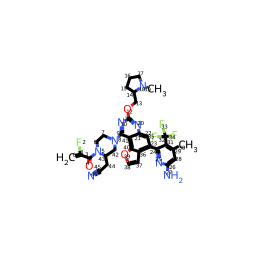 C=C(F)C(=O)N1CCN(c2nc(OCC3CCCN3C)nc3cc(-c4nc(N)cc(C)c4C(F)(F)F)c4ccoc4c23)CC1CC#N